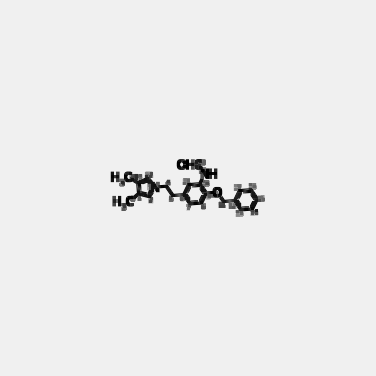 Cc1cn(CCc2ccc(OCc3ccccc3)c(NC=O)c2)cc1C